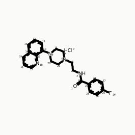 Cl.O=C(NCCN1CCN(c2cccc3cccnc23)CC1)c1ccc(F)cc1